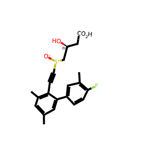 Cc1cc(C)c(C#C[S+]([O-])C[C@@H](O)CC(=O)O)c(-c2ccc(F)c(C)c2)c1